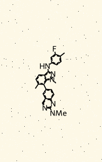 CNc1ncc2cc(-c3c(C)ccc4c(Nc5ccc(C)c(F)c5)nn(C)c34)ccc2n1